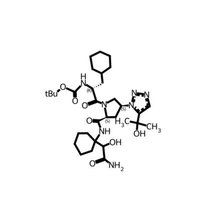 CC(C)(C)OC(=O)N[C@H](CC1CCCCC1)C(=O)N1C[C@@H](n2nncc2C(C)(C)O)C[C@H]1C(=O)NC1(C(O)C(N)=O)CCCCC1